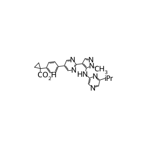 CC(C)c1cncc(Nc2c(-c3ncc(-c4ccc(C5(C(=O)O)CC5)cc4)cn3)cnn2C)n1